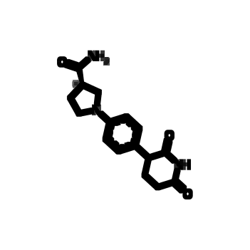 NC(=O)[C@@H]1CCN(c2ccc(C3CCC(=O)NC3=O)cc2)C1